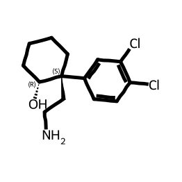 NCC[C@]1(c2ccc(Cl)c(Cl)c2)CCCC[C@H]1O